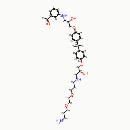 CC(=O)c1cccc(NCC(O)COc2ccc(C(C)(C)c3ccc(OCC(O)CNCCCOCCOCCCN)cc3)cc2)c1